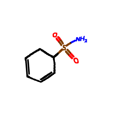 NS(=O)(=O)C1C=CC=CC1